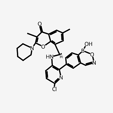 Cc1cc([C@@H](C)Nc2ccc(Cl)nc2-c2ccc3c(c2)C=NOB3O)c2oc(N3CCCCC3)c(C)c(=O)c2c1